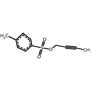 CC#CCOS(=O)(=O)c1ccc(C)cc1